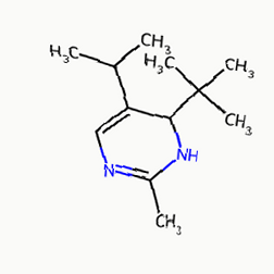 CC1=NC=C(C(C)C)C(C(C)(C)C)N1